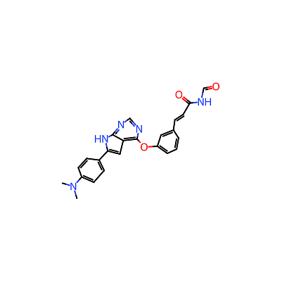 CN(C)c1ccc(-c2cc3c(Oc4cccc(C=CC(=O)NC=O)c4)ncnc3[nH]2)cc1